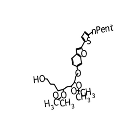 CCCCCc1ccc(-c2cc3ccc(OCC4OC(C)(C)OC4CC4OC(C)(C)OC4CCCO)cc3o2)s1